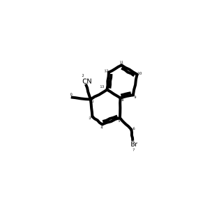 CC1(C#N)CC=C(CBr)c2ccccc21